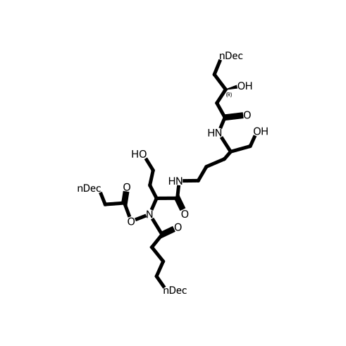 CCCCCCCCCCCCCC(=O)N(OC(=O)CCCCCCCCCCC)C(CCO)C(=O)NCCCC(CO)NC(=O)C[C@H](O)CCCCCCCCCCC